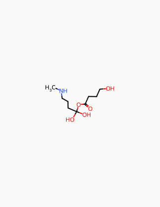 CNCCCC(O)(O)OC(=O)CCCO